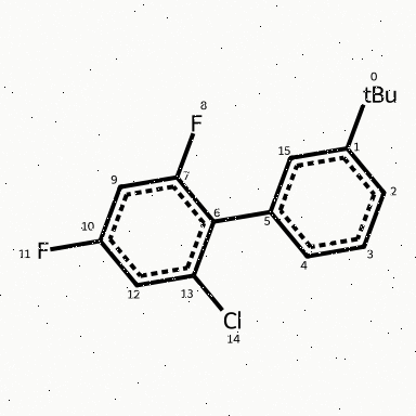 CC(C)(C)c1cccc(-c2c(F)cc(F)cc2Cl)c1